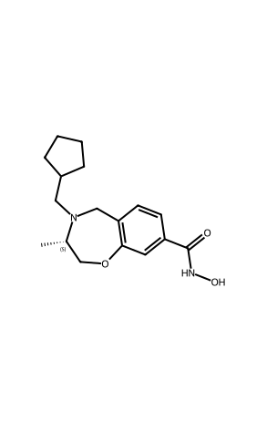 C[C@H]1COc2cc(C(=O)NO)ccc2CN1CC1CCCC1